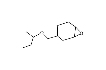 CCC(C)OCC1CCC2OC2C1